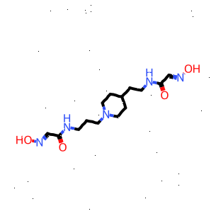 O=C(/C=N/O)NCCCN1CCC(CCNC(=O)/C=N/O)CC1